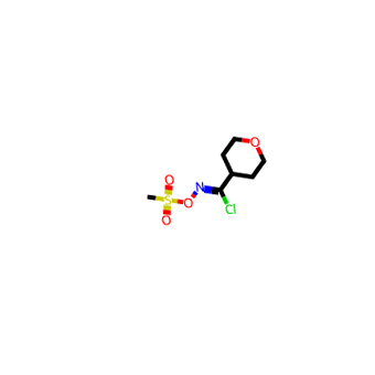 CS(=O)(=O)ON=C(Cl)C1CCOCC1